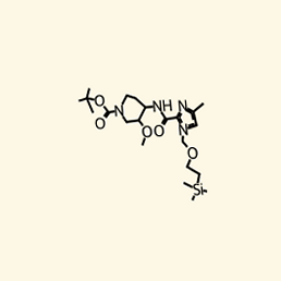 COC1CN(C(=O)OC(C)(C)C)CCC1NC(=O)c1nc(C)cn1COCC[Si](C)(C)C